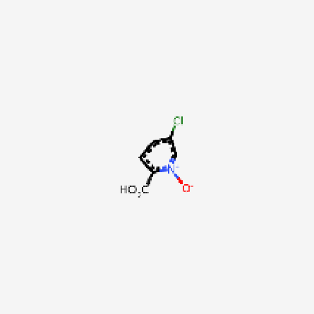 O=C(O)c1ccc(Cl)c[n+]1[O-]